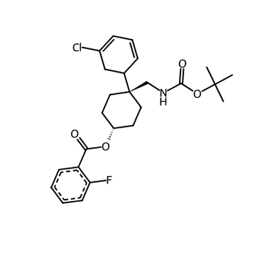 CC(C)(C)OC(=O)NC[C@]1(C2C=CC=C(Cl)C2)CC[C@@H](OC(=O)c2ccccc2F)CC1